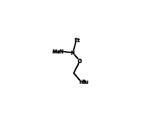 CCCCCON(CC)NC